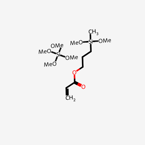 C=CC(=O)OCCC[Si](C)(OC)OC.CO[Si](OC)(OC)OC